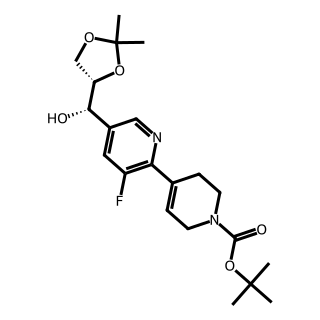 CC(C)(C)OC(=O)N1CC=C(c2ncc([C@H](O)[C@@H]3COC(C)(C)O3)cc2F)CC1